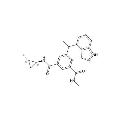 CNC(=O)c1cc(C(=O)N[C@H]2C[C@@H]2C)cc(C(C)c2cncc3[nH]ccc23)n1